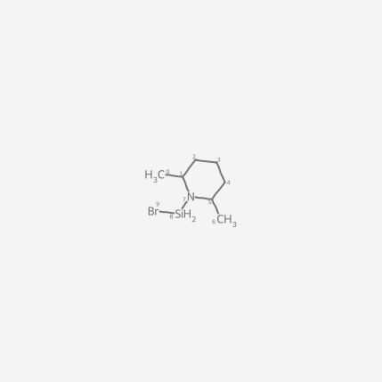 CC1CCCC(C)N1[SiH2]Br